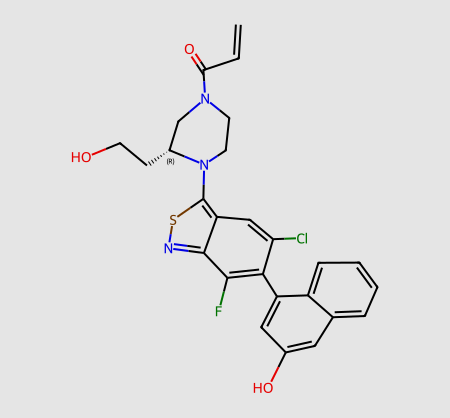 C=CC(=O)N1CCN(c2snc3c(F)c(-c4cc(O)cc5ccccc45)c(Cl)cc23)[C@H](CCO)C1